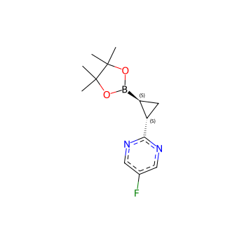 CC1(C)OB([C@H]2C[C@@H]2c2ncc(F)cn2)OC1(C)C